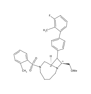 COC[C@@H]1C(c2ccc(-c3cccc(F)c3C)cc2)[C@@H]2CN(S(=O)(=O)c3ccccc3C)CCCCN12